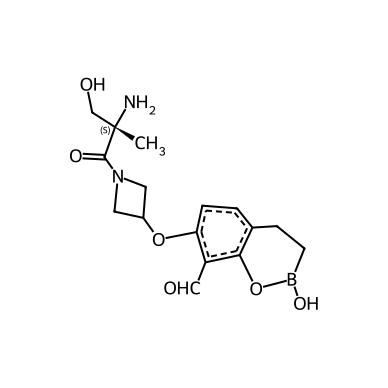 C[C@](N)(CO)C(=O)N1CC(Oc2ccc3c(c2C=O)OB(O)CC3)C1